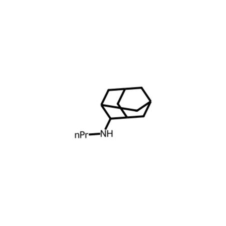 [CH2]CCNC1C2CC3CC(C2)CC1C3